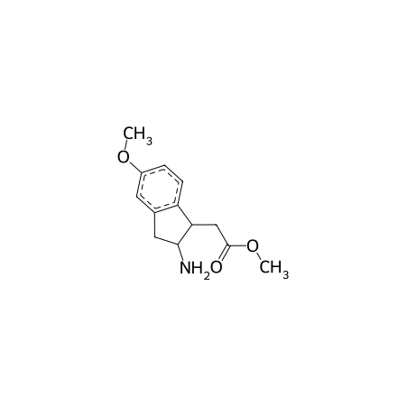 COC(=O)CC1c2ccc(OC)cc2CC1N